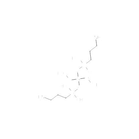 CO[Si](OC)(O[Si](C)(C)CCCN)O[Si](C)(C)CCCN